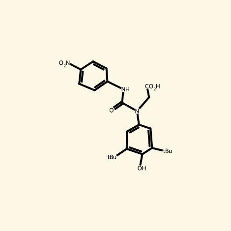 CC(C)(C)c1cc(N(CC(=O)O)C(=O)Nc2ccc([N+](=O)[O-])cc2)cc(C(C)(C)C)c1O